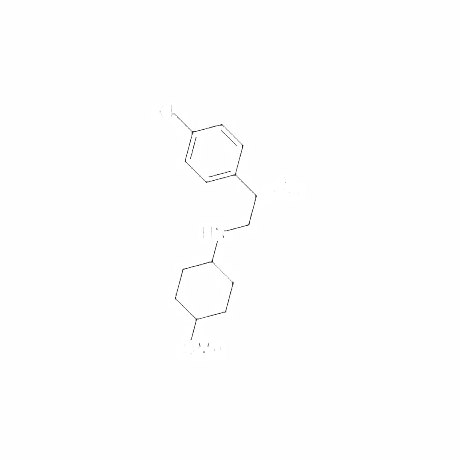 COC1CCC(NC[C@@H](C(C)=O)c2ccc(Cl)cc2)CC1